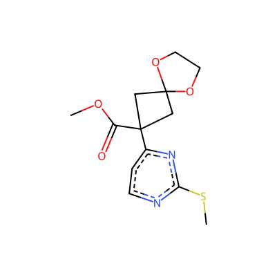 COC(=O)C1(c2ccnc(SC)n2)CC2(C1)OCCO2